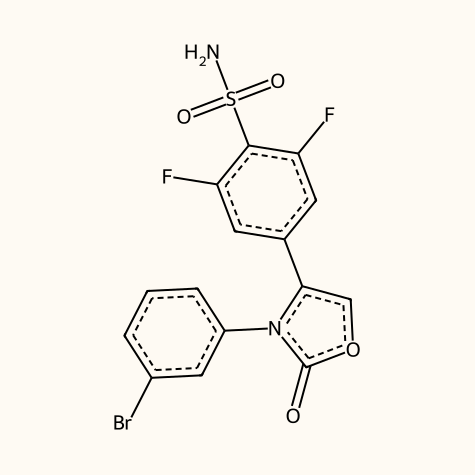 NS(=O)(=O)c1c(F)cc(-c2coc(=O)n2-c2cccc(Br)c2)cc1F